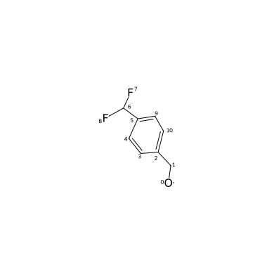 [O]Cc1ccc(C(F)F)cc1